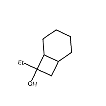 CCC1(O)CC2CCCCC21